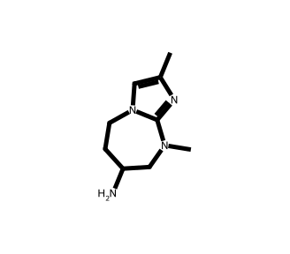 Cc1cn2c(n1)N(C)CC(N)CC2